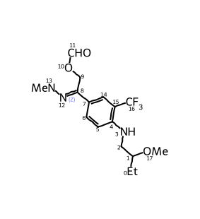 CCC(CNc1ccc(/C(COC=O)=N/NC)cc1C(F)(F)F)OC